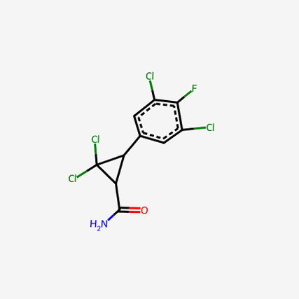 NC(=O)C1C(c2cc(Cl)c(F)c(Cl)c2)C1(Cl)Cl